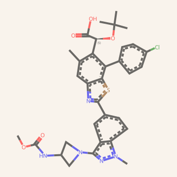 COC(=O)NC1CN(c2nn(C)c3ccc(-c4nc5cc(C)c([C@H](OC(C)(C)C)C(=O)O)c(-c6ccc(Cl)cc6)c5s4)cc23)C1